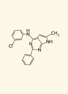 Cc1cc2c(Nc3cccc(Cl)c3)nc(-c3ccccc3)nc2[nH]1